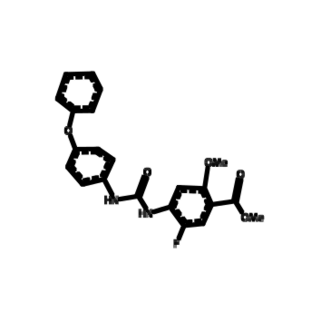 COC(=O)c1cc(F)c(NC(=O)Nc2ccc(Oc3ccccc3)cc2)cc1OC